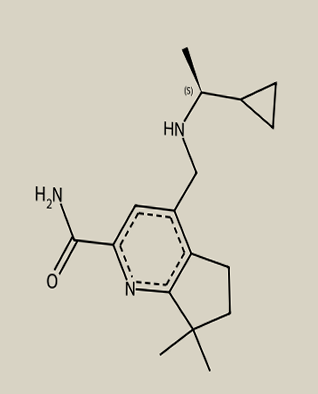 C[C@H](NCc1cc(C(N)=O)nc2c1CCC2(C)C)C1CC1